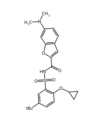 CN(C)c1ccc2cc(C(=O)NS(=O)(=O)c3cc(C(C)(C)C)ccc3OC3CC3)oc2c1